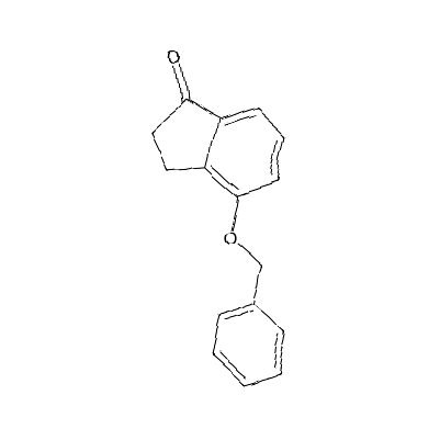 O=C1CCc2c(OCc3ccccc3)cccc21